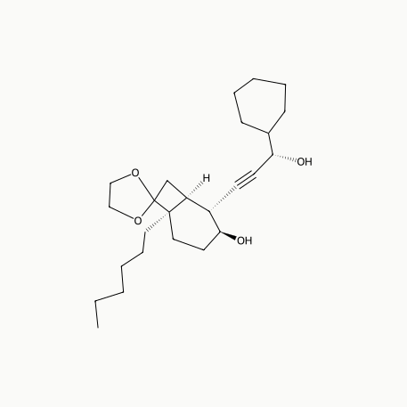 CCCCCC[C@@]12CC[C@H](O)[C@@H](C#C[C@@H](O)C3CCCCC3)[C@@H]1CC21OCCO1